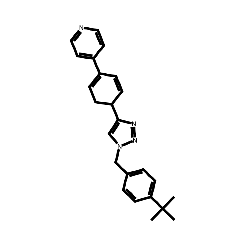 CC(C)(C)c1ccc(Cn2cc(C3C=CC(c4ccncc4)=CC3)nn2)cc1